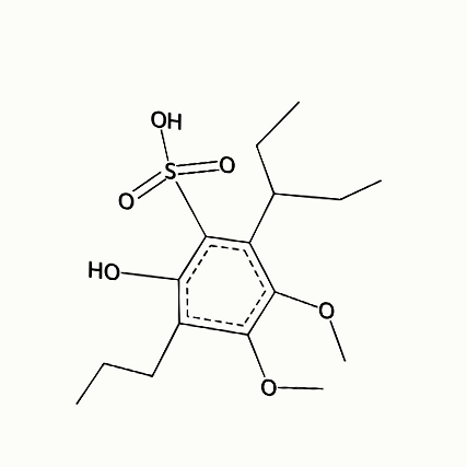 CCCc1c(O)c(S(=O)(=O)O)c(C(CC)CC)c(OC)c1OC